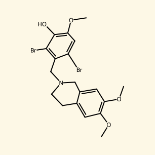 COc1cc2c(cc1OC)CN(Cc1c(Br)cc(OC)c(O)c1Br)CC2